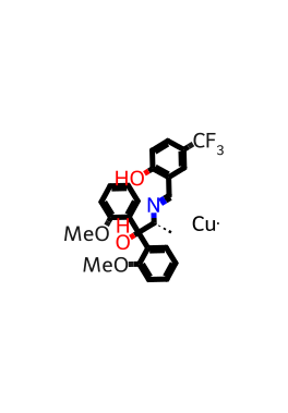 COc1ccccc1C(O)(c1ccccc1OC)[C@@H](C)N=Cc1cc(C(F)(F)F)ccc1O.[Cu]